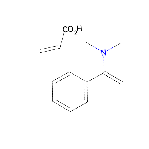 C=C(c1ccccc1)N(C)C.C=CC(=O)O